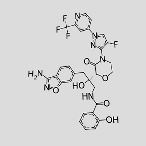 Nc1noc2cc(CC(O)(CNC(=O)c3ccccc3O)[C@H]3OCCN(c4nn(-c5ccnc(C(F)(F)F)c5)cc4F)C3=O)ccc12